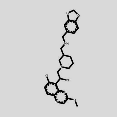 COc1cnc2ccc(Cl)c(C(O)CN3CCCC(CNCc4ccc5c(c4)OCO5)C3)c2n1